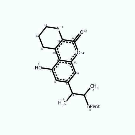 CCCCCC(C)C(C)c1cc(O)c2c3c(c(=O)oc2c1)SCCC3